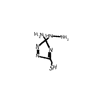 NNC1(N)N=NC(S)=N1